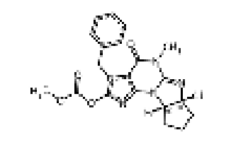 COC(=O)Oc1nc2c(n1Cc1ccccc1)C(=O)N(C)C1=N[C@@H]3CCC[C@@H]3N12